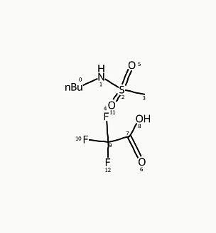 CCCCNS(C)(=O)=O.O=C(O)C(F)(F)F